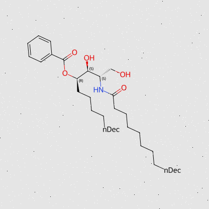 CCCCCCCCCCCCCCCCCC(=O)N[C@@H](CO)[C@H](O)[C@@H](CCCCCCCCCCCCCC)OC(=O)c1ccccc1